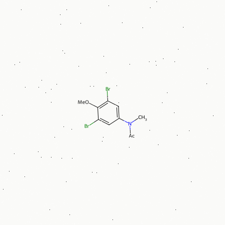 COc1c(Br)cc(N(C)C(C)=O)cc1Br